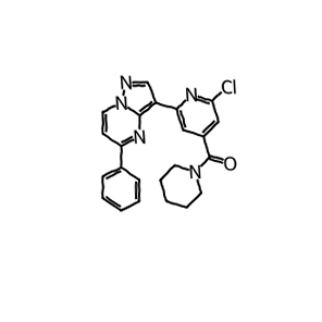 O=C(c1cc(Cl)nc(-c2cnn3ccc(-c4ccccc4)nc23)c1)N1CCCCC1